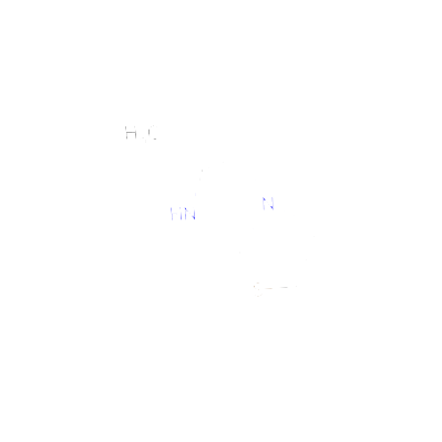 CC1CN2CCSC2N1